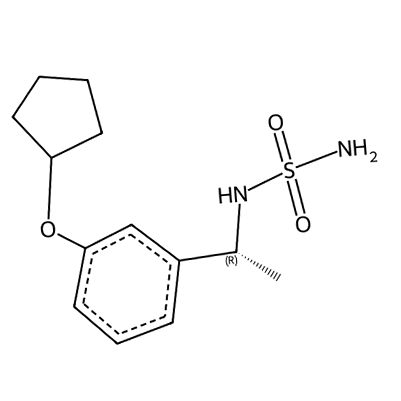 C[C@@H](NS(N)(=O)=O)c1cccc(OC2CCCC2)c1